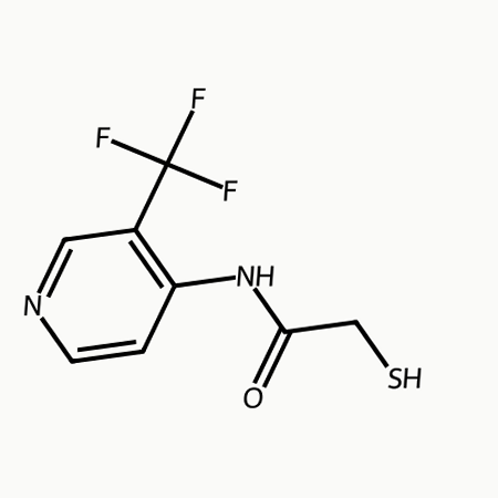 O=C(CS)Nc1ccncc1C(F)(F)F